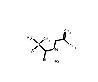 C=C(C)CNC(CC)[N+](C)(C)C.[OH-]